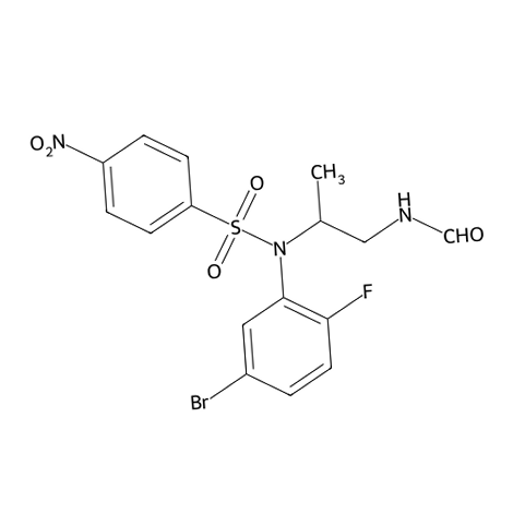 CC(CNC=O)N(c1cc(Br)ccc1F)S(=O)(=O)c1ccc([N+](=O)[O-])cc1